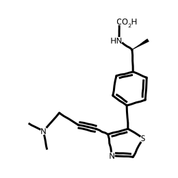 C[C@H](NC(=O)O)c1ccc(-c2scnc2C#CCN(C)C)cc1